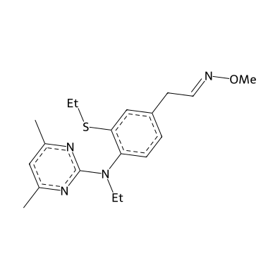 CCSc1cc(CC=NOC)ccc1N(CC)c1nc(C)cc(C)n1